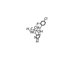 CC(C)(C#N)C(O)(CCc1ccc(Cl)cc1F)Cc1nc[nH]n1